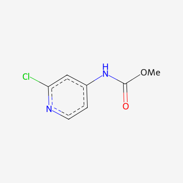 COC(=O)Nc1ccnc(Cl)c1